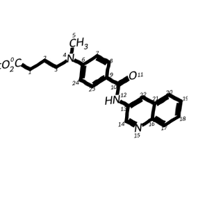 CCOC(=O)CCCN(C)c1ccc(C(=O)Nc2cnc3ccccc3c2)cc1